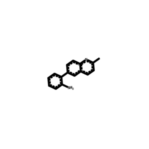 Cc1ccc2cc(-c3ccccc3N)ccc2n1